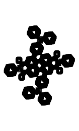 O=C1c2ccc3c4c(-c5ccc(N(c6ccccc6)c6ccccc6)cc5)cc5c6c(ccc(c7c(-c8ccc(N(c9ccccc9)c9ccccc9)cc8)cc(c2c37)C(=O)N1c1ccccc1)c64)C(=O)N(c1ccccc1)C5=O